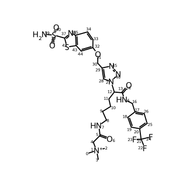 C[N+](C)(C)CC(=O)NCCCCC(C(=O)NCc1ccc(C(F)(F)F)cc1)n1cc(COc2ccc3nc(S(N)(=O)=O)sc3c2)nn1